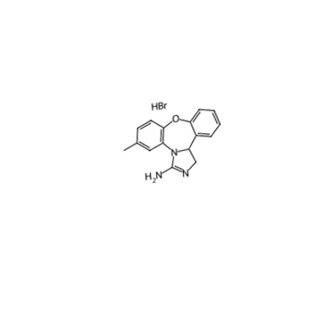 Br.Cc1ccc2c(c1)N1C(N)=NCC1c1ccccc1O2